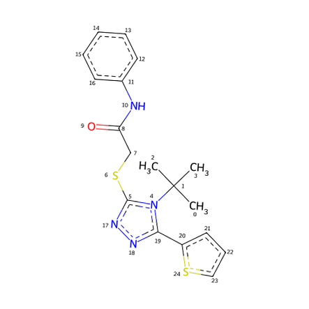 CC(C)(C)n1c(SCC(=O)Nc2ccccc2)nnc1-c1cccs1